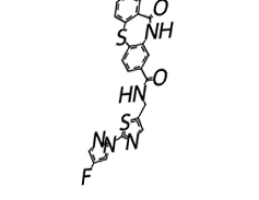 O=C(NCc1cnc(-n2cc(F)cn2)s1)c1ccc2c(c1)NC(=O)c1ccccc1S2